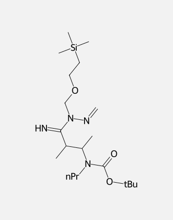 C=NN(COCC[Si](C)(C)C)C(=N)C(C)C(C)N(CCC)C(=O)OC(C)(C)C